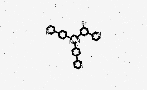 Brc1cc(-c2cccnc2)cc(-c2cc(-c3ccc(-c4cccnc4)cc3)nc(-c3ccc(-c4cccnc4)cc3)n2)c1